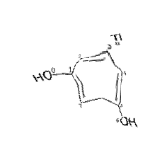 Oc1cccc(O)c1.[Ti]